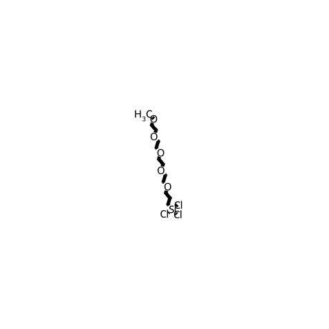 COCCOCCOCCOCCOCCC[Si](Cl)(Cl)Cl